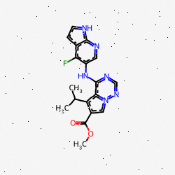 COC(=O)c1cn2ncnc(Nc3cnc4[nH]ccc4c3F)c2c1C(C)C